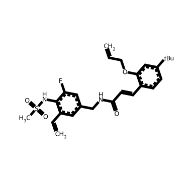 C=CCOc1cc(C(C)(C)C)ccc1/C=C/C(=O)NCc1cc(F)c(NS(C)(=O)=O)c(C=C)c1